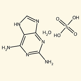 Nc1nc(N)c2[nH]cnc2n1.O.O=S(=O)(O)O